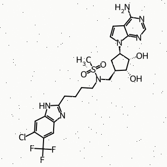 CS(=O)(=O)N(CCCCc1nc2cc(C(F)(F)F)c(Cl)cc2[nH]1)C[C@H]1C[C@@H](n2ccc3c(N)ncnc32)[C@H](O)[C@@H]1O